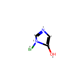 Oc1cncn1Br